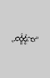 O=c1c2ccc(Cl)cc2[nH]c2c(O)nn(Cc3cccc(Cl)c3)c(=O)c12